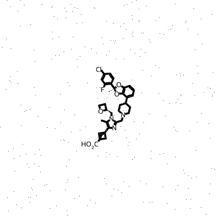 Cc1c(C23CC(C(=O)O)(C2)C3)nc(CN2CCC(c3cccc4c3O[C@@](C)(c3ccc(Cl)cc3F)O4)CC2)n1C[C@@H]1CCO1